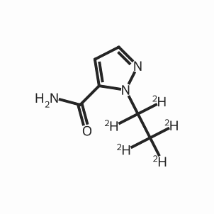 [2H]C([2H])([2H])C([2H])([2H])n1nccc1C(N)=O